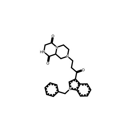 O=C(CCN1CCN2C(=O)CNC(=O)C2C1)c1cn(Cc2ccccc2)c2ccccc12